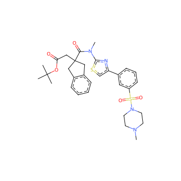 CN1CCN(S(=O)(=O)c2cccc(-c3csc(N(C)C(=O)C4(CC(=O)OC(C)(C)C)Cc5ccccc5C4)n3)c2)CC1